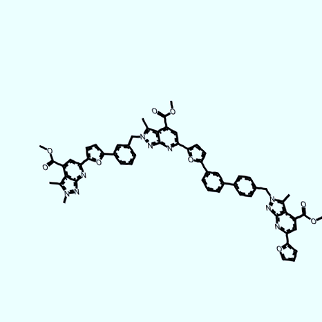 COC(=O)c1cc(-c2ccc(-c3cccc(Cn4nc5nc(-c6ccc(-c7cccc(-c8ccc(Cn9nc%10nc(-c%11ccco%11)cc(C(=O)OC)c%10c9C)cc8)c7)o6)cc(C(=O)OC)c5c4C)c3)o2)nc2nn(C)c(C)c12